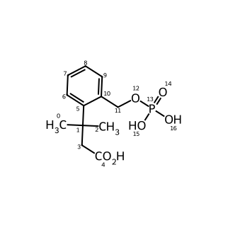 CC(C)(CC(=O)O)c1ccccc1COP(=O)(O)O